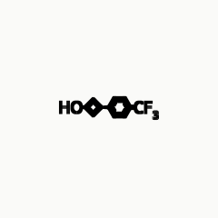 O[C@H]1C[C@@H](c2ccc(C(F)(F)F)cc2)C1